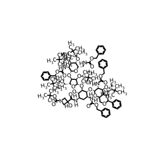 CC(C)(C)OC(=O)N1CC(O)(C(=O)N[C@@H]2C[C@H](NC(=O)OCc3ccccc3)[C@@H](O[C@H]3O[C@@H]4COC(c5ccccc5)O[C@H]4[C@H](O[Si](C)(C)C(C)(C)C)[C@H]3NC(=O)OCc3ccccc3)[C@H](O[C@@H]3O[C@H](CO[Si](C)(C)C(C)(C)C)[C@@H](O[C@H]4O[C@@H](CNC(=O)OCc5ccccc5)[C@@H](O[Si](C)(C)C(C)(C)C)[C@H](O[Si](C)(C)C(C)(C)C)[C@H]4NC(=O)OCc4ccccc4)[C@H]3O[Si](C)(C)C(C)(C)C)[C@H]2O)C1